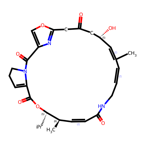 CC1=C/[C@@H](O)CC(=O)Cc2nc(co2)C(=O)N2CCC=C2C(=O)O[C@@H](C(C)C)[C@H](C)/C=C\C(=O)NC/C=C\1